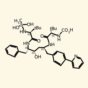 CC(C)(C)[C@H](NC(=O)O)C(=O)N[C@@H](Cc1ccc(-c2ccccn2)cc1)C[C@H](O)[C@H](Cc1ccccc1)NC(=O)[C@@H](NS(C)(O)O)C(C)(C)C